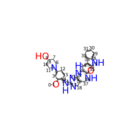 COc1cc(N2CCC(O)CC2)ccc1Nc1ncc2c(n1)NC(Cc1c[nH]c3ccccc13)C(=O)NC2